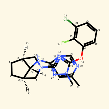 Cc1cc(N2C[C@H]3CC[C@@H](C2)[C@@H]3Nc2nc(Oc3cccc(Cl)c3F)n(C)n2)ncn1